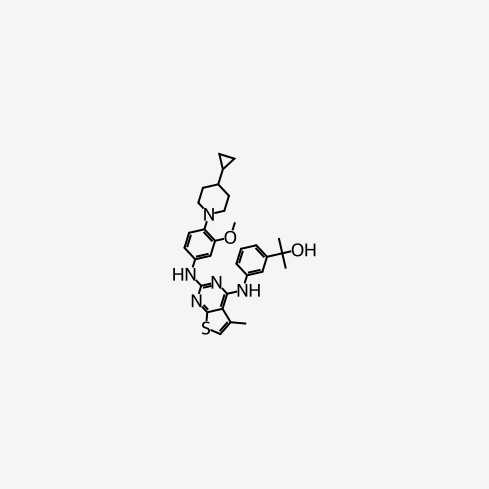 COc1cc(Nc2nc(Nc3cccc(C(C)(C)O)c3)c3c(C)csc3n2)ccc1N1CCC(C2CC2)CC1